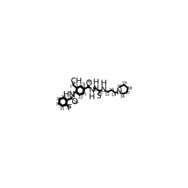 CCc1cc(C(=O)NNC(=S)NCCCN2CCCCC2)ccc1NC(=O)c1ccccc1F